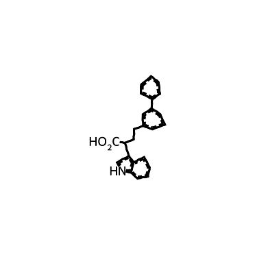 O=C(O)C(CCc1cccc(-c2ccccc2)c1)c1c[nH]c2ccccc12